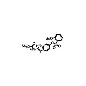 COC(=O)Nc1nc2ccc(OS(=O)(=O)c3ccccc3OCC(C)C)cc2[nH]1